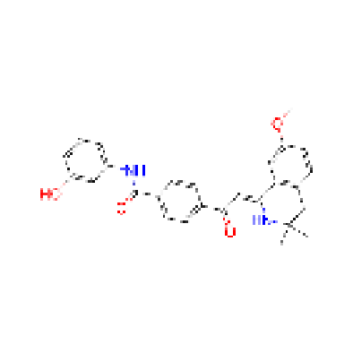 COc1ccc2c(c1)C(=CC(=O)c1ccc(C(=O)Nc3cccc(O)c3)cc1)NC(C)(C)C2